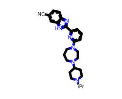 CC(C)N1CCC(N2CCCN(c3cccc(-c4nc5ccc(C#N)cc5[nH]4)n3)CC2)CC1